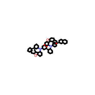 c1ccc(-c2cccc(N(c3cccc(-c4ccccc4N(c4ccc(-c5ccc6ccccc6c5)cc4)c4cccc5oc6ccc7ccccc7c6c45)c3)c3cccc4oc5ccccc5c34)c2)cc1